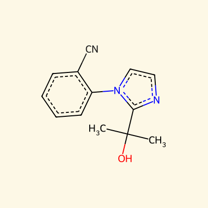 CC(C)(O)c1nccn1-c1ccccc1C#N